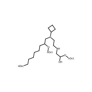 CCCCCCCCCCCCCCCCC(CN(CCNCC(O)OCCCCCCCC)C1CCC1)OCCCCCCCC